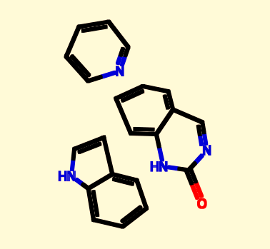 O=c1ncc2ccccc2[nH]1.c1ccc2[nH]ccc2c1.c1ccncc1